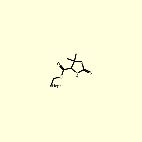 CCCCCCCCOC(=O)C1NC(=S)SC1(C)C